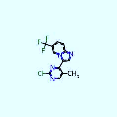 Cc1cnc(Cl)nc1-c1cnc2ccc(C(F)(F)F)cn12